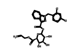 C=CCOC(=O)[C@H]1OC(OC(=O)c2nn(Cc3ccc(Cl)cc3Cl)c3ccccc23)[C@H](O)[C@@H](O)[C@@H]1O